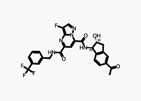 CC(=O)c1ccc2c(c1)C[C@@H](O)[C@@H]2NC(=O)c1cc(C(=O)NCc2cccc(C(F)(F)F)c2)nc2c(F)cnn12